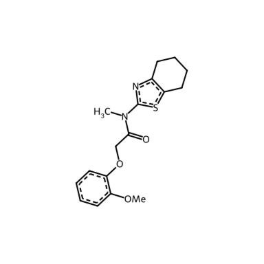 COc1ccccc1OCC(=O)N(C)c1nc2c(s1)CCCC2